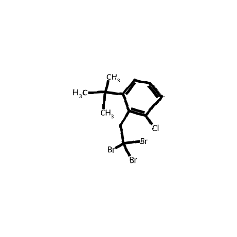 CC(C)(C)c1cc[c]c(Cl)c1CC(Br)(Br)Br